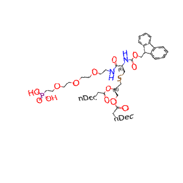 CCCCCCCCCCCC(=O)OC[C@H](CSC[C@H](NC(=O)OCC1c2ccccc2-c2ccccc21)C(=O)NCCOCCOCCOCCP(=O)(O)O)OC(=O)CCCCCCCCCCC